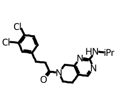 CC(C)Nc1ncc2c(n1)CN(C(=O)CCc1ccc(Cl)c(Cl)c1)CC2